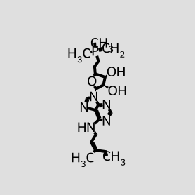 C=P(C)(C)CCC1O[C@@H](n2cnc3c(NC/C=C(/C)CC)ncnc32)[C@H](O)[C@@H]1O